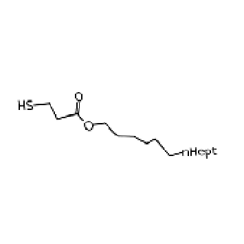 CCCCCCCCCCCCCOC(=O)CCS